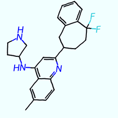 Cc1ccc2nc(C3CCC(F)(F)c4ccccc4C3)cc(NC3CCNC3)c2c1